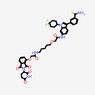 NC(=S)c1cccc(-c2cn(C3CCC(F)(F)CC3)c3cc(NC(=O)COCCCCCNC(=O)COc4cccc5c4C(=O)N(C4CCC(=O)NC4=O)C5=O)ccc23)c1